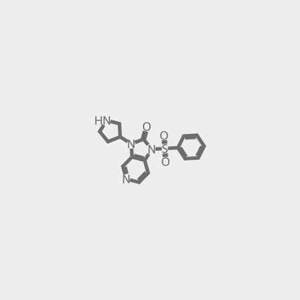 O=c1n(C2CCNC2)c2cnccc2n1S(=O)(=O)c1ccccc1